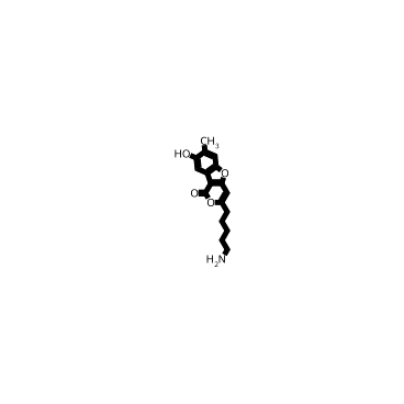 Cc1cc2oc3cc(CCCCCN)oc(=O)c3c2cc1O